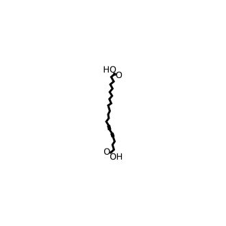 O=C(O)CCCC#CC#CCCCCCCCCCCCCCC(=O)O